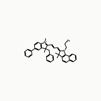 CC(C)CCN1/C(=C/C=C/C2=[N+](C)c3ccc(-c4ccccc4)cc3C2(C)Cc2ccccc2)C(C)(C)c2ccc3ccccc3c21